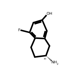 N[C@@H]1CCc2c(F)cc(O)cc2C1